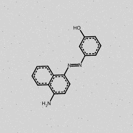 Nc1ccc(/N=N/c2cccc(O)c2)c2ccccc12